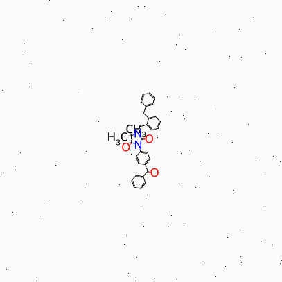 CC1(C)C(=O)N(c2ccc(C(=O)c3ccccc3)cc2)C(=O)N1Cc1ccccc1Cc1ccccc1